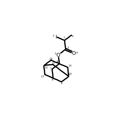 CC(I)C(=O)OC12CC3CC(CC(C3)C1)C2